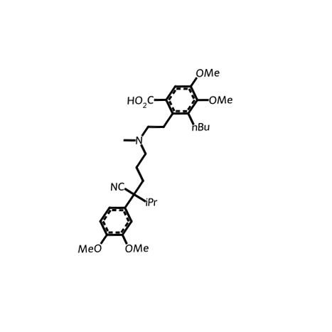 CCCCc1c(CCN(C)CCCC(C#N)(c2ccc(OC)c(OC)c2)C(C)C)c(C(=O)O)cc(OC)c1OC